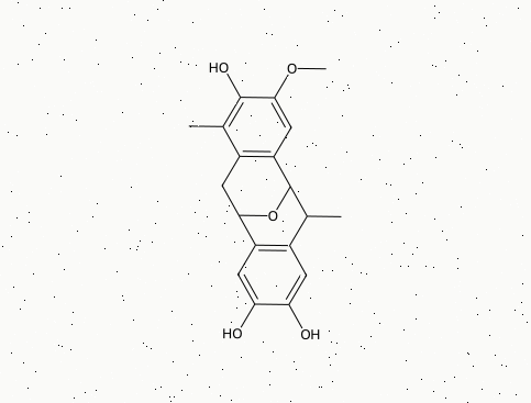 COc1cc2c(c(C)c1O)CC1OC2C(C)c2cc(O)c(O)cc21